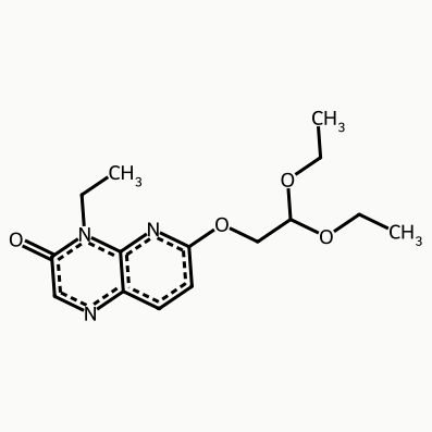 CCOC(COc1ccc2ncc(=O)n(CC)c2n1)OCC